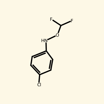 FC(F)ONc1ccc(Cl)cc1